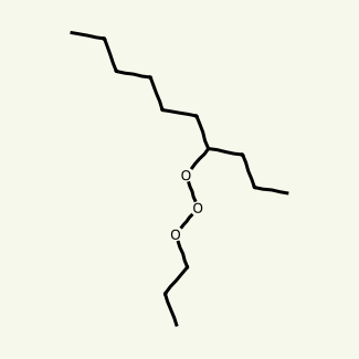 CCCCCCC(CCC)OOOCCC